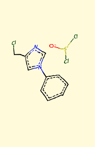 ClCc1cn(-c2ccccc2)cn1.[O-][S+](Cl)Cl